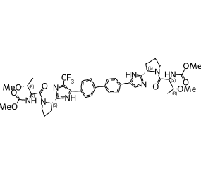 COC(=O)N[C@H](C(=O)N1CCC[C@H]1c1ncc(-c2ccc(-c3ccc(-c4[nH]c([C@@H]5CCCN5C(=O)[C@@H](NC(=O)OC)[C@@H](C)OC)nc4C(F)(F)F)cc3)cc2)[nH]1)[C@@H](C)OC